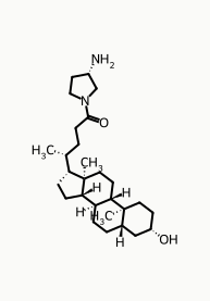 C[C@H](CCC(=O)N1CC[C@H](N)C1)[C@H]1CC[C@H]2[C@@H]3CC[C@H]4C[C@@H](O)CC[C@]4(C)[C@H]3CC[C@]12C